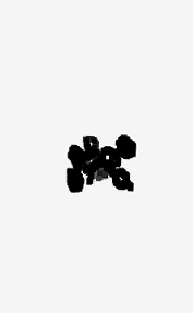 CC1CCC(NC(=O)c2cn3c(-c4ccccc4)ccc3c(=O)n2CCc2ccccc2)CC1